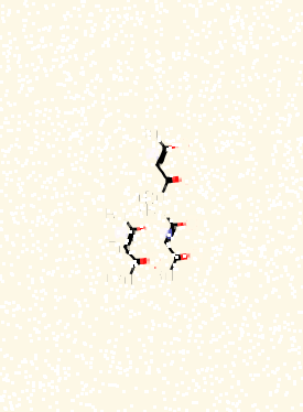 CC(C)(C)C(=O)/C=C(\[O-])C(C)(C)C.CC(C)(C)C(=O)/C=C(\[O-])C(C)(C)C.CC(C)(C)C(=O)/C=C(\[O-])C(C)(C)C.[Eu+3]